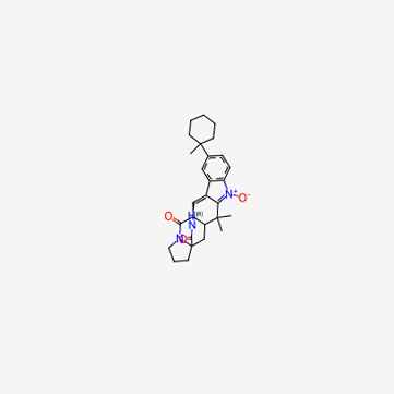 CC1(c2ccc3c(c2)C2=C[C@@]45NC(=O)C6(CCCN6C4=O)CC5C(C)(C)C2=[N+]3[O-])CCCCC1